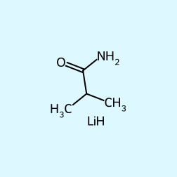 CC(C)C(N)=O.[LiH]